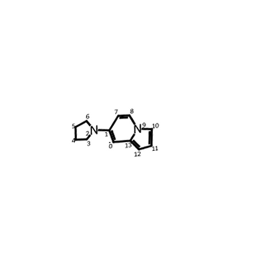 [c]1c(N2CCCC2)ccn2cccc12